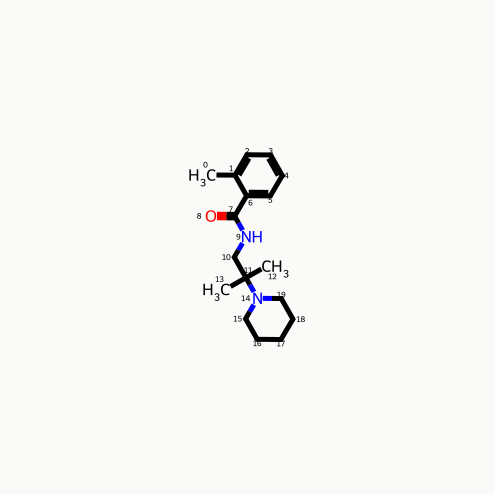 Cc1ccccc1C(=O)NCC(C)(C)N1CCCCC1